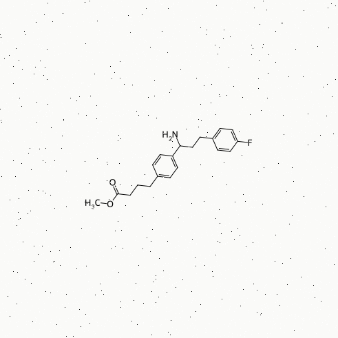 COC(=O)CCCc1ccc(C(N)CCc2ccc(F)cc2)cc1